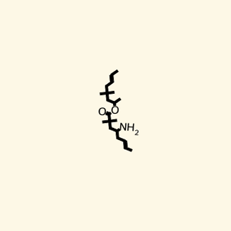 C/C=C/CC(N)CC(C)(C)C(=O)OC(C)CC(C)(C)C/C=C/C